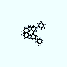 c1ccc(-c2cccc(-c3nc(-c4ccccc4)nc4oc5ccc6ccccc6c5c34)c2)cc1